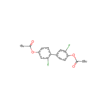 CC(C)(C)C(=O)Oc1ccc(-c2ccc(OC(=O)C(C)(C)C)c(F)c2)c(F)c1